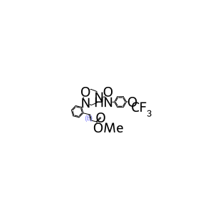 COC(=O)/C=C/c1ccccc1N1CCN(C(=O)Nc2ccc(OC(F)(F)F)cc2)CCOC1